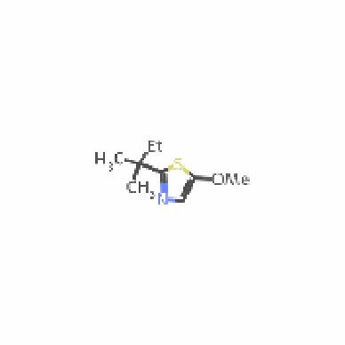 CCC(C)(C)c1ncc(OC)s1